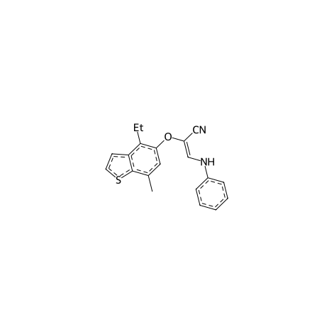 CCc1c(OC(C#N)=CNc2ccccc2)cc(C)c2sccc12